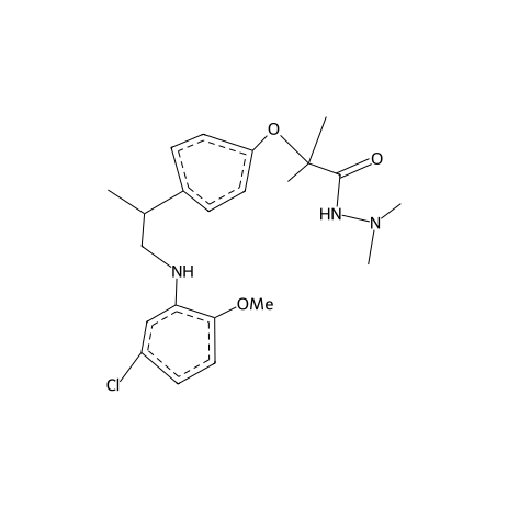 COc1ccc(Cl)cc1NCC(C)c1ccc(OC(C)(C)C(=O)NN(C)C)cc1